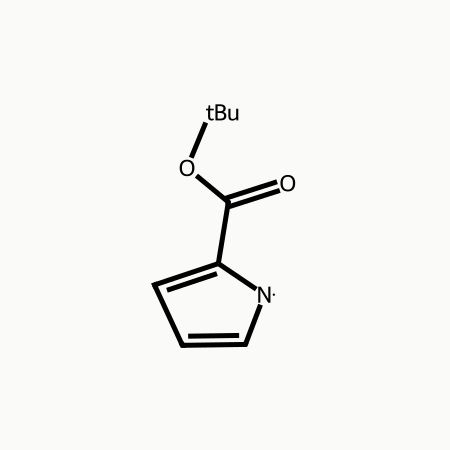 CC(C)(C)OC(=O)C1=CC=C[N]1